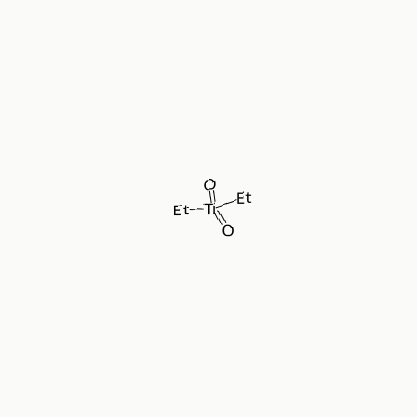 C[CH2][Ti](=[O])(=[O])[CH2]C